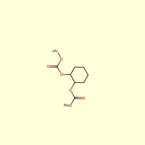 CCCOC(=O)OC1CCCCC1OC(=O)OC